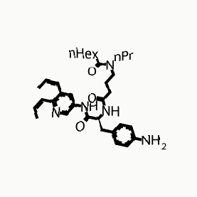 C/C=C\c1cc(NC(=O)[C@H](Cc2ccc(N)cc2)NC(=O)CCCN(CCC)C(=O)CCCCCC)cnc1/C=C\C